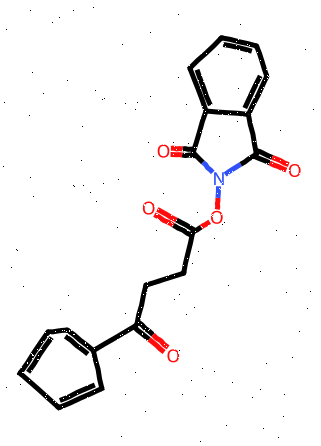 O=C(CCC(=O)c1ccccc1)ON1C(=O)c2ccccc2C1=O